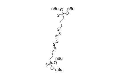 CCCCOP(=S)(CCCSSSSSSCCCP(=S)(OCCCC)OCCCC)OCCCC